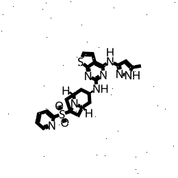 Cc1cc(Nc2nc(N[C@H]3C[C@@H]4CC5(S(=O)(=O)c6ccccn6)C[C@H](C3)N45)nc3sccc23)n[nH]1